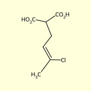 CC(Cl)=CCC(C(=O)O)C(=O)O